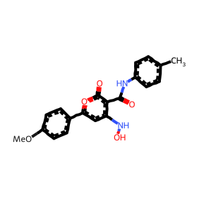 COc1ccc(-c2cc(NO)c(C(=O)Nc3ccc(C)cc3)c(=O)o2)cc1